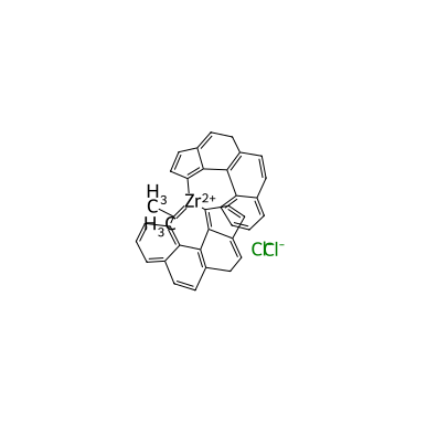 C[C](C)=[Zr+2]([C]1=C2C(=CCc3ccc4ccccc4c32)C=C1)[C]1=C2C(=CCc3ccc4ccccc4c32)C=C1.[Cl-].[Cl-]